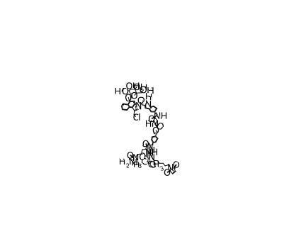 CC(C)C(NC(=O)CCCCCN1C(=O)C=CC1=O)C(=O)NC(CCCNC(N)=O)C(=O)Nc1ccc(COC(=O)NCC(=O)Nc2ccc3[nH]c(C(=O)N4CC(CCl)c5c4cc(OC4OC(CO)C(O)C(O)C4O)c4ccccc54)cc3c2)cc1